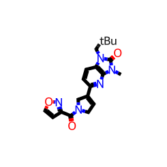 Cn1c(=O)n(CC(C)(C)C)c2ccc(C3=CCN(C(=O)c4ccon4)C3)nc21